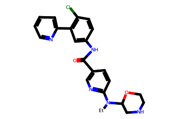 CCN(c1ccc(C(=O)Nc2ccc(Cl)c(-c3ccccn3)c2)cn1)C1CNCCO1